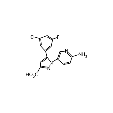 Nc1ccc(-n2nc(C(=O)O)cc2-c2cc(F)cc(Cl)c2)cn1